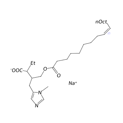 CCCCCCCC/C=C\CCCCCCCC(=O)OCC(Cc1cncn1C)C(CC)C(=O)[O-].[Na+]